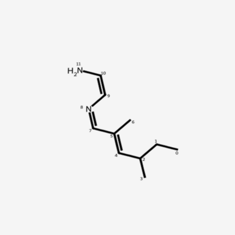 CCC(C)/C=C(C)/C=N\C=C/N